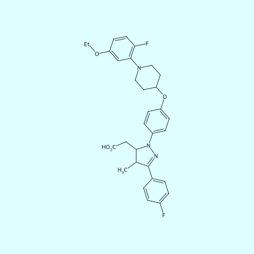 CCOc1ccc(F)c(N2CCC(Oc3ccc(N4N=C(c5ccc(F)cc5)C(C)C4CC(=O)O)cc3)CC2)c1